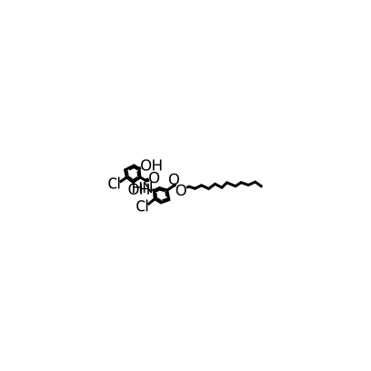 CCCCCCCCCCCCOC(=O)c1ccc(Cl)c(NC(=O)c2c(O)ccc(Cl)c2O)c1